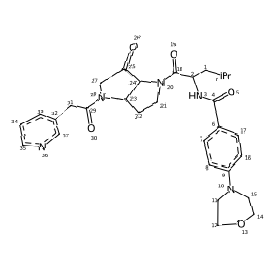 CC(C)CC(NC(=O)c1ccc(N2CCOCC2)cc1)C(=O)N1CCC2C1C(=O)CN2C(=O)Cc1cccnc1